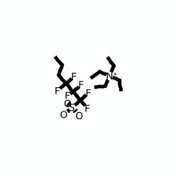 CCCC(F)(F)C(F)(F)C(F)(F)S(=O)(=O)[O-].CC[N+](CC)(CC)CC